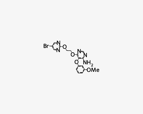 COc1cccc(Oc2c(N)ncnc2OCCOc2ncc(Br)cn2)c1